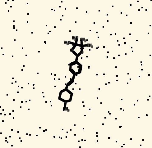 CN1CCC(C=Cc2ccc(B3OC(C)(C)C(C)(C)O3)cc2)CC1